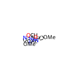 COc1ccc(-c2nnc([C@H](C)NC(=O)c3nccc(OC)c3OC(C)=O)o2)cc1